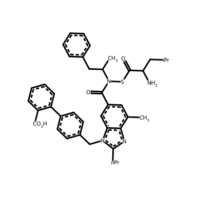 CCCc1nc2c(C)cc(C(=O)N(SC(=O)C(N)CC(C)C)C(C)Cc3ccccc3)cc2n1Cc1ccc(-c2ccccc2C(=O)O)cc1